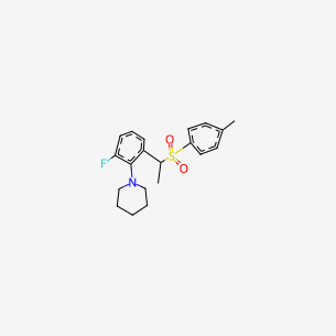 Cc1ccc(S(=O)(=O)C(C)c2cccc(F)c2N2CCCCC2)cc1